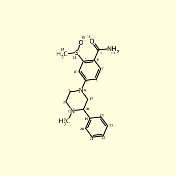 CN1CCN(c2ccc(C(N)=O)c([S+](C)[O-])c2)CC1c1ccccc1